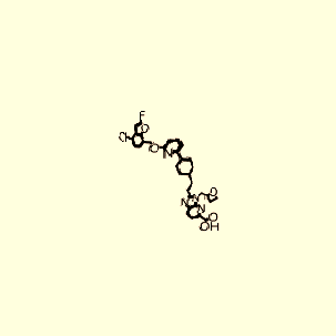 O=C(O)c1ccc2nc(CCC3CC=C(c4cccc(OCc5ccc(Cl)c6cc(F)oc56)n4)CC3)n(C[C@@H]3CCO3)c2n1